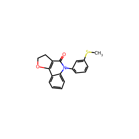 CSc1cccc(-n2c(=O)c3c(c4ccccc42)OCC3)c1